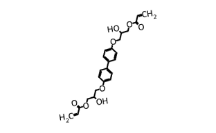 C=CC(=O)OCC(O)COc1ccc(-c2ccc(OCC(O)COC(=O)C=C)cc2)cc1